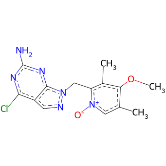 COc1c(C)c[n+]([O-])c(Cn2ncc3c(Cl)nc(N)nc32)c1C